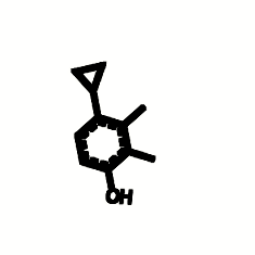 Cc1c(O)ccc(C2CC2)c1C